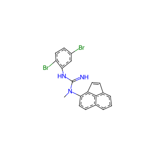 CN(C(=N)Nc1cc(Br)ccc1Br)c1ccc2cccc3c2c1C=C3